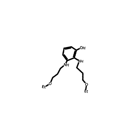 CCOCCCNc1cccc(O)c1NCCCOCC